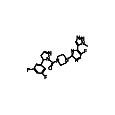 Cn1nncc1-c1nc(N2CCN(C(=O)N3N=CCC3c3cc(F)cc(F)c3)CC2)ncc1F